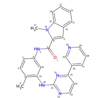 Cc1ccc(NC(=O)c2cc3ccccc3n2C)cc1Nc1nccc(-c2cccnc2)n1